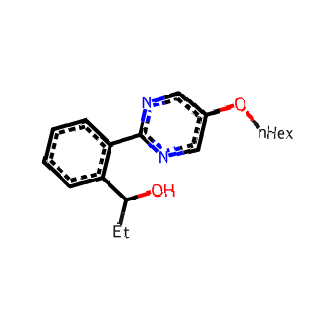 CCCCCCOc1cnc(-c2ccccc2C(O)CC)nc1